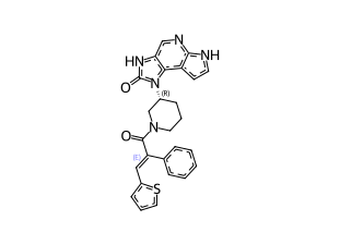 O=C(/C(=C/c1cccs1)c1ccccc1)N1CCC[C@@H](n2c(=O)[nH]c3cnc4[nH]ccc4c32)C1